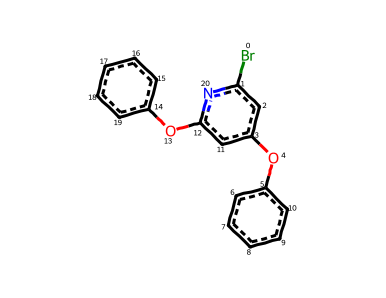 Brc1cc(Oc2ccccc2)cc(Oc2ccccc2)n1